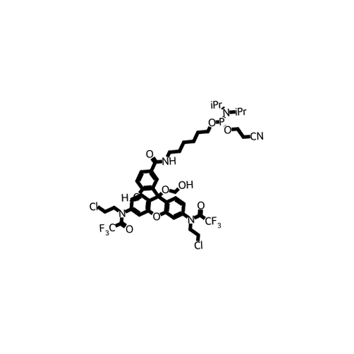 Cc1ccc(C(=O)NCCCCCCOP(OCCC#N)N(C(C)C)C(C)C)cc1C1(OCO)c2ccc(N(CCCl)C(=O)C(F)(F)F)cc2Oc2cc(N(CCCl)C(=O)C(F)(F)F)ccc21